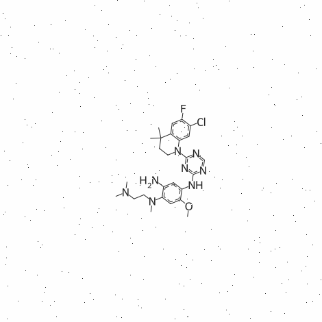 COc1cc(N(C)CCN(C)C)c(N)cc1Nc1ncnc(N2CCC(C)(C)c3cc(F)c(Cl)cc32)n1